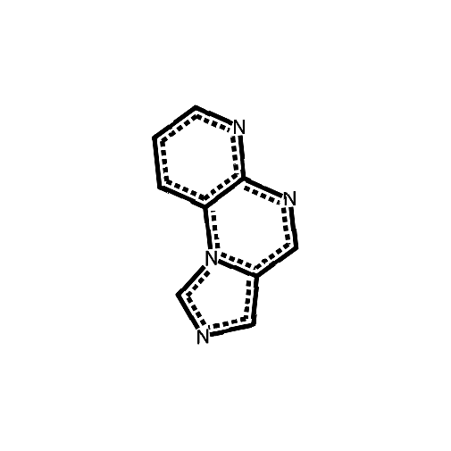 c1cnc2ncc3cncn3c2c1